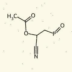 CC(=O)OC(C#N)CP=O